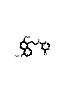 COc1ccc2c(OC)cccc2c1CCNc1cc(Cl)ncn1